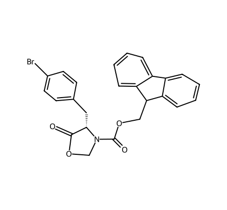 O=C1OCN(C(=O)OCC2c3ccccc3-c3ccccc32)[C@H]1Cc1ccc(Br)cc1